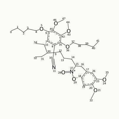 CCCCCOc1cc(C(C#N)(CCCC(Cc2ccc(OC)c(OC)c2)[N+](=O)[O-])C(CC)CC)c(OCCCCC)c(OC)c1OC